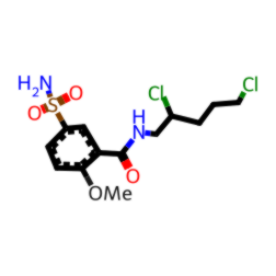 COc1ccc(S(N)(=O)=O)cc1C(=O)NCC(Cl)CCCCl